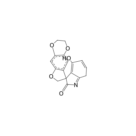 O=C1N=C2CC=CC(O)=C2C12COc1cc3c(cc12)OCCO3